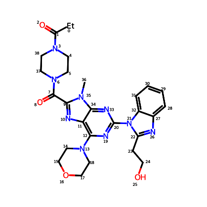 CCC(=O)N1CCN(C(=O)c2nc3c(N4CCOCC4)nc(-n4c(CCO)nc5ccccc54)nc3n2C)CC1